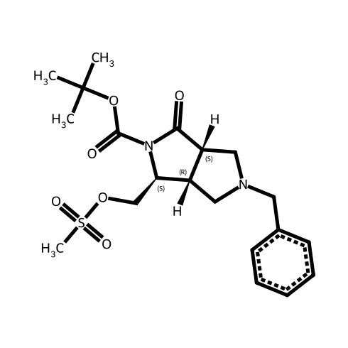 CC(C)(C)OC(=O)N1C(=O)[C@@H]2CN(Cc3ccccc3)C[C@@H]2[C@H]1COS(C)(=O)=O